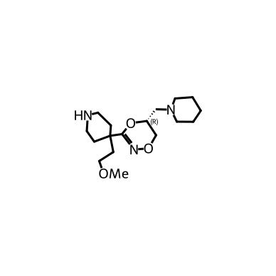 COCCC1(C2=NOC[C@@H](CN3CCCCC3)O2)CCNCC1